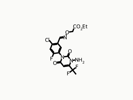 CCOC(=O)CO/N=C/c1cc(-n2c(=O)cc(C(C)(F)F)n(N)c2=O)c(F)cc1Cl